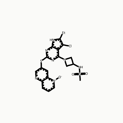 CCc1[nH]c2nc(Sc3cnc4ccc[n+]([O-])c4c3)nc(N3CC(NS(C)(=O)=O)C3)c2c1Cl